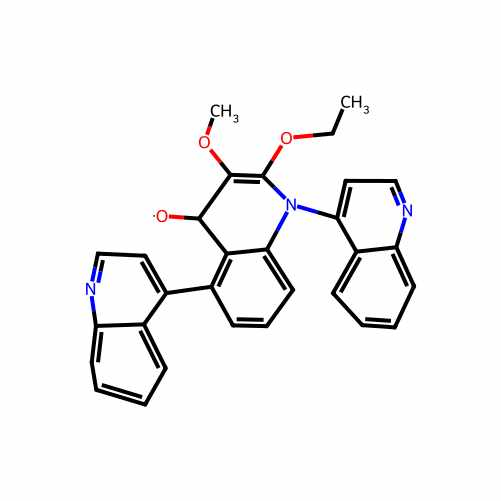 CCOC1=C(OC)C([O])c2c(-c3ccnc4ccccc34)cccc2N1c1ccnc2ccccc12